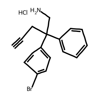 C#CCC(CN)(c1ccccc1)c1ccc(Br)cc1.Cl